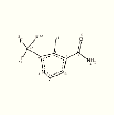 Cc1c(C(N)=O)ccnc1C(F)(F)F